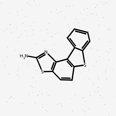 Nc1nc2c(ccc3sc4ccccc4c32)s1